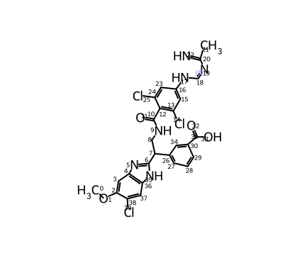 COc1cc2nc(C(CNC(=O)c3c(Cl)cc(N/C=N\C(C)=N)cc3Cl)c3cccc(C(=O)O)c3)[nH]c2cc1Cl